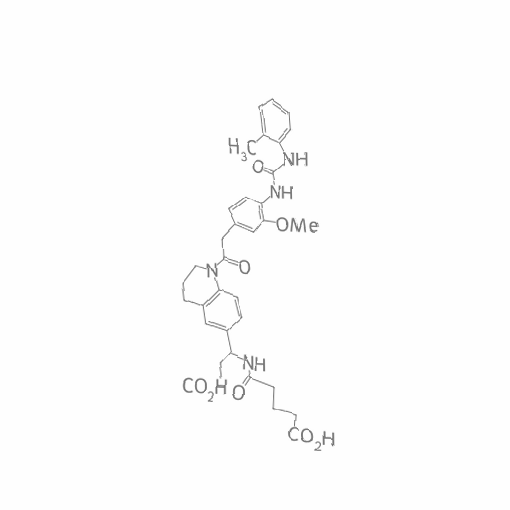 COc1cc(CC(=O)N2CCCc3cc(C(CC(=O)O)NC(=O)CCCC(=O)O)ccc32)ccc1NC(=O)Nc1ccccc1C